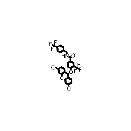 O=C(NCc1ccc(C(F)(F)F)cc1)c1ccc(OC(c2ccc(Cl)cc2)c2ccc(Cl)cc2Cl)c(C(F)(F)F)c1